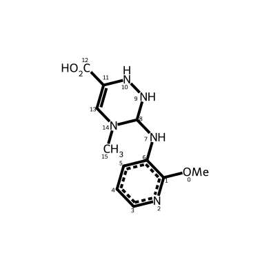 COc1ncccc1NC1NNC(C(=O)O)=CN1C